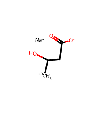 [13CH3]C(O)CC(=O)[O-].[Na+]